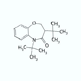 CC(C)(C)C1COc2ccccc2N(C(C)(C)C)C1=O